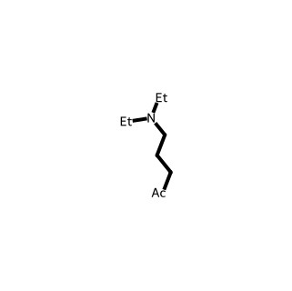 CCN(CC)CCCC(C)=O